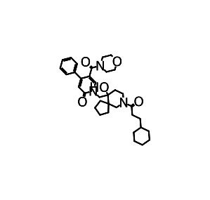 O=C(CCC1CCCCC1)N1CCC(O)(Cn2cc(C(=O)N3CCOCC3)c(-c3ccccc3)cc2=O)C2(CCCC2)C1